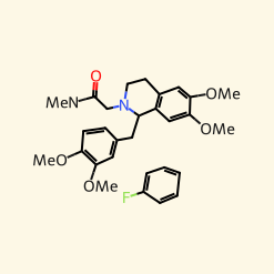 CNC(=O)CN1CCc2cc(OC)c(OC)cc2C1Cc1ccc(OC)c(OC)c1.Fc1ccccc1